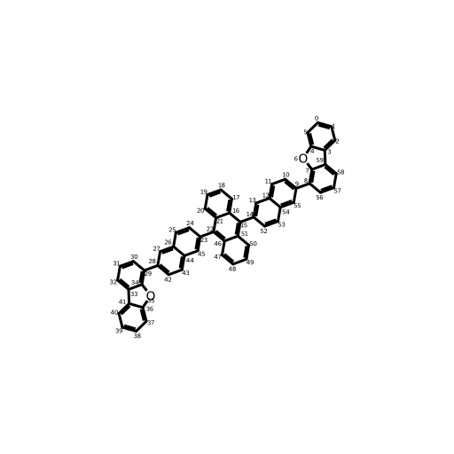 c1ccc2c(c1)oc1c(-c3ccc4cc(-c5c6ccccc6c(-c6ccc7cc(-c8cccc9c8oc8ccccc89)ccc7c6)c6ccccc56)ccc4c3)cccc12